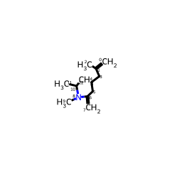 C=C(C)CCCC(=C)N(C)C(C)C